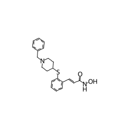 O=C(/C=C/c1ccccc1SC1CCN(Cc2ccccc2)CC1)NO